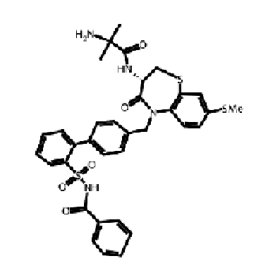 CSc1ccc2c(c1)SC[C@@H](NC(=O)C(C)(C)N)C(=O)N2Cc1ccc(-c2ccccc2S(=O)(=O)NC(=O)c2ccccc2)cc1